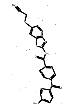 C#CCOc1ccc2nc(NC(=O)c3ccc(C(=O)c4ccc(OC)cc4)cc3)sc2c1